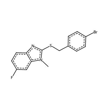 Cn1c(SCc2ccc(Br)cc2)nc2ccc(F)cc21